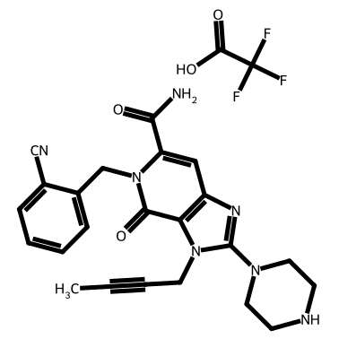 CC#CCn1c(N2CCNCC2)nc2cc(C(N)=O)n(Cc3ccccc3C#N)c(=O)c21.O=C(O)C(F)(F)F